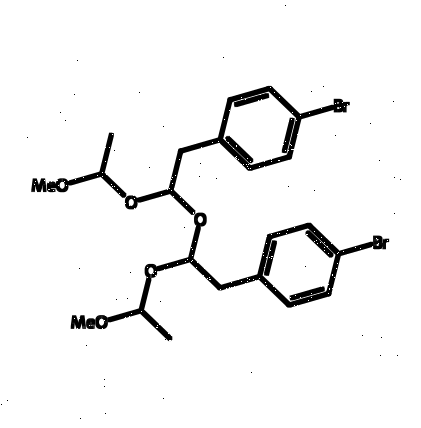 COC(C)OC(Cc1ccc(Br)cc1)OC(Cc1ccc(Br)cc1)OC(C)OC